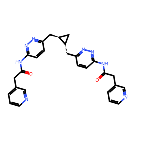 O=C(Cc1cccnc1)Nc1ccc(C[C@H]2C[C@@H]2Cc2ccc(NC(=O)Cc3cccnc3)nn2)nn1